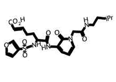 CC(C)CCNC(=O)Cn1cccc(NC(=O)C(CCC=CC(=O)O)NS(=O)(=O)c2ccoc2)c1=O